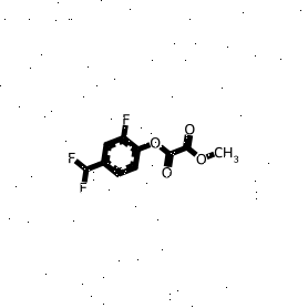 COC(=O)C(=O)Oc1ccc(C(F)F)cc1F